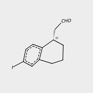 O=CC[C@@H]1CCCc2cc(I)ccc21